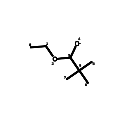 CCOC([O])C(C)(C)C